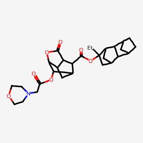 CCC1(OC(=O)C2C3CC4C(OC(=O)C42)C3OC(=O)CN2CCOCC2)CC2CC1C1C3CCC(C3)C21